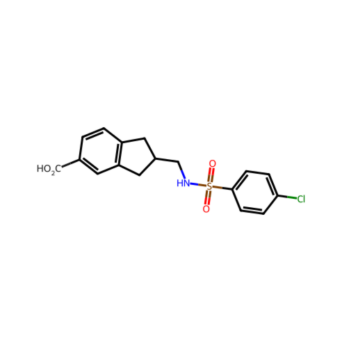 O=C(O)c1ccc2c(c1)CC(CNS(=O)(=O)c1ccc(Cl)cc1)C2